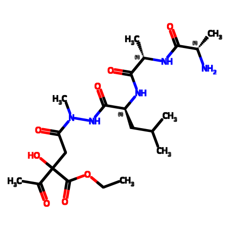 CCOC(=O)C(O)(CC(=O)N(C)NC(=O)[C@H](CC(C)C)NC(=O)[C@H](C)NC(=O)[C@H](C)N)C(C)=O